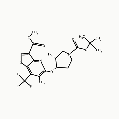 COC(=O)c1csc2c(C(F)(F)F)c(C)c(O[C@H]3CCN(C(=O)OC(C)(C)C)C[C@H]3F)nc12